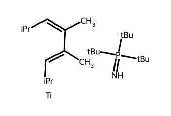 CC(=CC(C)C)C(C)=CC(C)C.CC(C)(C)P(=N)(C(C)(C)C)C(C)(C)C.[Ti]